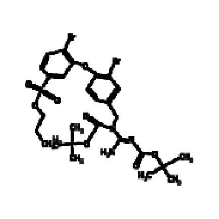 CCCOS(=O)(=O)c1ccc(Br)c(Oc2ccc(CN(C(=O)OC(C)(C)C)C(N)=NC(=O)OC(C)(C)C)cc2Br)c1